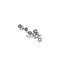 Cc1cc(Oc2cccc(COc3ccccc3C#N)c2)ccc1N1C(=O)Nc2c(C(=O)NC3CCCCC3)sc3nccc1c23